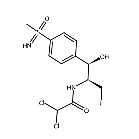 CS(=N)(=O)c1ccc([C@@H](O)[C@@H](CF)NC(=O)C(Cl)Cl)cc1